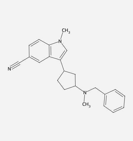 CN(Cc1ccccc1)C1CCC(c2cn(C)c3ccc(C#N)cc23)C1